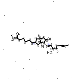 CC#CC[C@H](C)[C@H](O)/C=C/[C@@H]1[C@H]2C/C(=C/CCCCC(=O)N(C)C)C[C@H]2C[C@H]1O